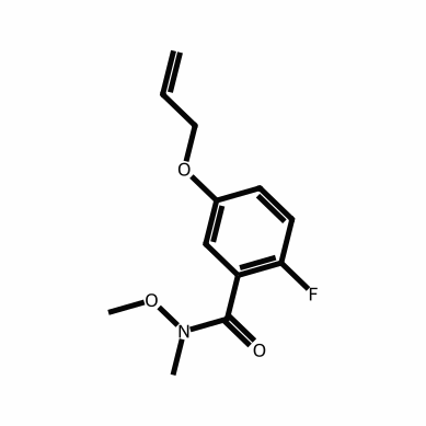 C=CCOc1ccc(F)c(C(=O)N(C)OC)c1